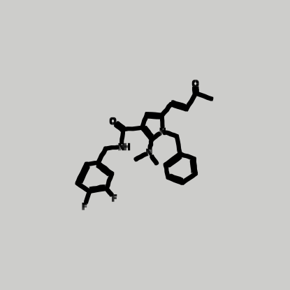 CC(=O)/C=C/c1cc(C(=O)NCc2ccc(F)c(F)c2)c(N(C)C)n1Cc1ccccc1